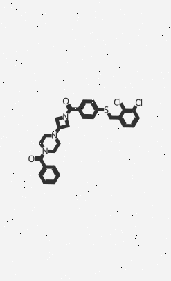 O=C(c1ccccc1)N1CCN(C2CN(C(=O)c3ccc(SCc4cccc(Cl)c4Cl)cc3)C2)CC1